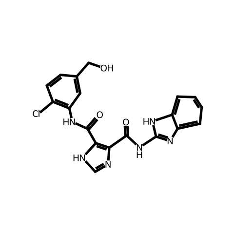 O=C(Nc1nc2ccccc2[nH]1)c1nc[nH]c1C(=O)Nc1cc(CO)ccc1Cl